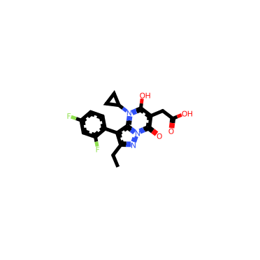 CCc1nn2c(=O)c(CC(=O)O)c(O)n(C3CC3)c2c1-c1ccc(F)cc1F